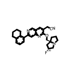 N#CCc1cc2cnc(-c3cccc4c3CCCC4)cc2nc1OC[C@@]12CCCN1C[C@H](F)C2